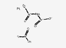 O=[N+]([O-])N[N+](=O)[O-].O=[N+]([O-])O.[Pt]